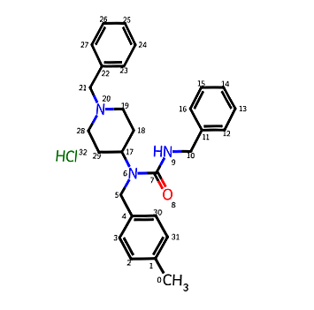 Cc1ccc(CN(C(=O)NCc2ccccc2)C2CCN(Cc3ccccc3)CC2)cc1.Cl